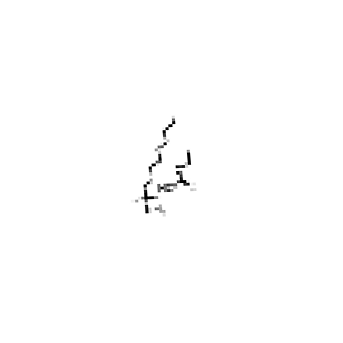 CCCCCCCCCC(C)(C)N.CCOC(=O)O